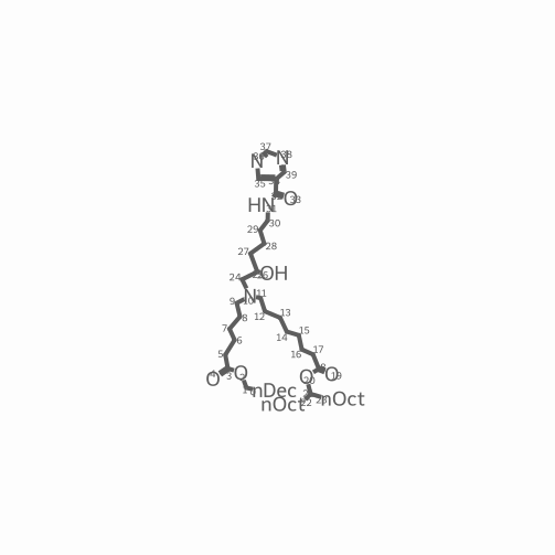 CCCCCCCCCCCOC(=O)CCCCCN(CCCCCCCC(=O)OC(CCCCCCCC)CCCCCCCC)CC(O)CCCCNC(=O)c1cncnc1